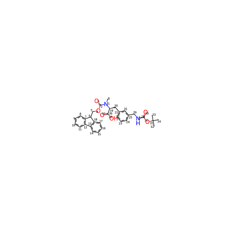 CN(C(=O)OCC1c2ccccc2-c2ccccc21)[C@@H](Cc1cccc(CNC(=O)OC(C)(C)C)c1)C(=O)O